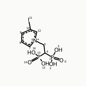 O=P(O)(O)C(C[n+]1cccc(I)c1)P(=O)(O)O